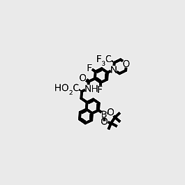 CC1(C)OB(c2ccc(C[C@H](NC(=O)c3c(F)cc(N4CCOC[C@@H]4C(F)(F)F)cc3F)C(=O)O)c3ccccc23)OC1(C)C